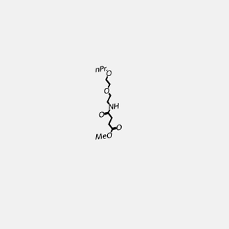 CCCOCCOCCNC(=O)CCC(=O)OC